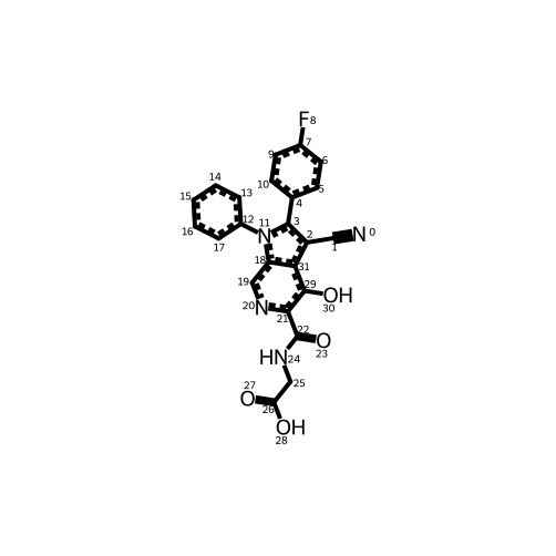 N#Cc1c(-c2ccc(F)cc2)n(-c2ccccc2)c2cnc(C(=O)NCC(=O)O)c(O)c12